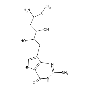 CSC(N)CC(O)C(O)Cc1c[nH]c2c(=O)[nH]c(N)nc12